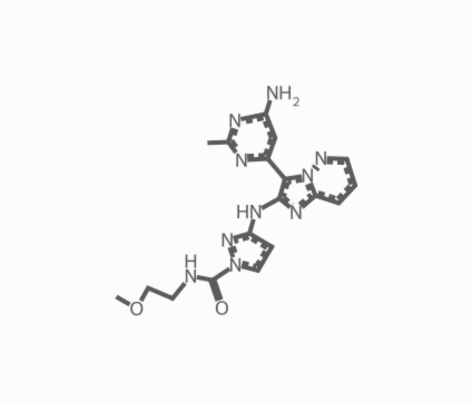 COCCNC(=O)n1ccc(Nc2nc3cccnn3c2-c2cc(N)nc(C)n2)n1